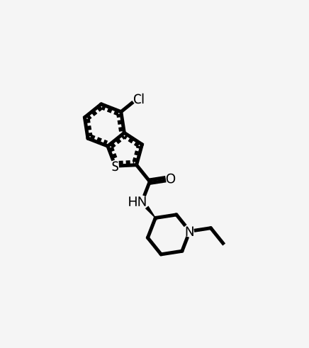 CCN1CCC[C@@H](NC(=O)c2cc3c(Cl)cccc3s2)C1